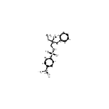 NC[C@@](O)(CNS(=O)(=O)c1ccc([N+](=O)[O-])cc1)Cc1ccccc1